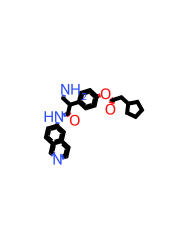 NCC(C(=O)Nc1ccc2cnccc2c1)c1ccc(OC(=O)CC2CCCC2)cc1